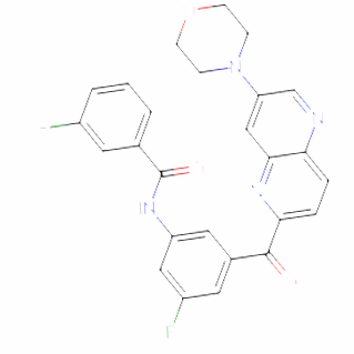 O=C(Nc1cc(F)cc(C(=O)c2ccc3ncc(N4CCOCC4)cc3n2)c1)c1cccc(F)c1